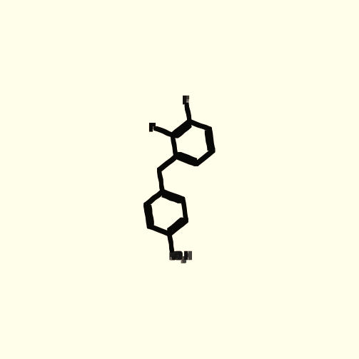 O=S(=O)(O)c1ccc(Cc2cccc(F)c2F)cc1